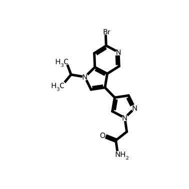 CC(C)n1cc(-c2cnn(CC(N)=O)c2)c2cnc(Br)cc21